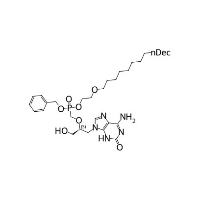 CCCCCCCCCCCCCCCCCCOCCOP(=O)(CO[C@H](CO)Cn1cnc2c(N)nc(=O)[nH]c21)OCc1ccccc1